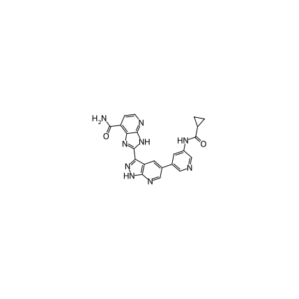 NC(=O)c1ccnc2[nH]c(-c3n[nH]c4ncc(-c5cncc(NC(=O)C6CC6)c5)cc34)nc12